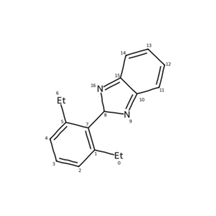 CCc1cccc(CC)c1C1N=c2ccccc2=N1